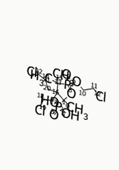 CC1(P(=O)(O)O)OP(=O)(OCCCl)C(C)(C)C1(CCCl)CCCl